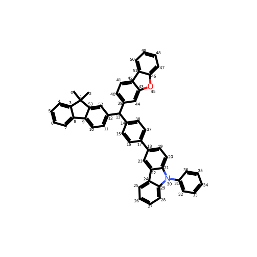 CC1(C)c2ccccc2-c2ccc(C(c3ccc(-c4ccc5c(c4)c4ccccc4n5-c4ccccc4)cc3)c3ccc4c(c3)oc3ccccc34)cc21